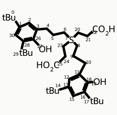 CC(C)(C)c1cc(CCCS(CCCc2cc(C(C)(C)C)cc(C(C)(C)C)c2O)(CCC(=O)O)CCC(=O)O)c(O)c(C(C)(C)C)c1